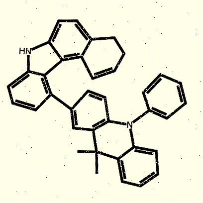 CC1(C)c2ccccc2N(c2ccccc2)c2ccc(-c3cccc4[nH]c5ccc6c(c5c34)C=CCC6)cc21